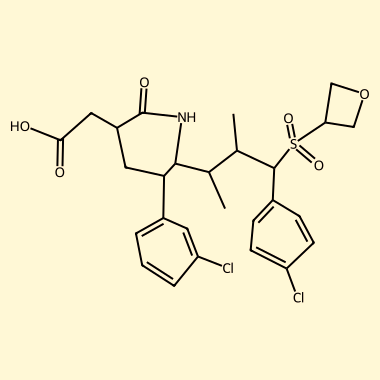 CC(C(C)C(c1ccc(Cl)cc1)S(=O)(=O)C1COC1)C1NC(=O)C(CC(=O)O)CC1c1cccc(Cl)c1